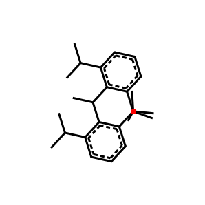 CC(C)c1cccc(C(C)C)c1C(C)c1c(C(C)C)cccc1C(C)C